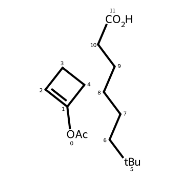 CC(=O)OC1=CCC1.CC(C)(C)CCCCCC(=O)O